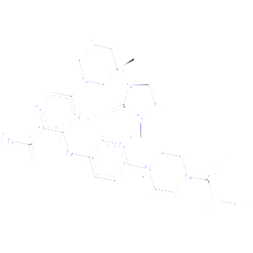 CN1CCN([C@@]2(C)CCCN(c3cnc(C(N)=O)c(Nc4ccc(N5CCN(C(=O)OC(C)(C)C)CC5)nc4)n3)C2)C1=O